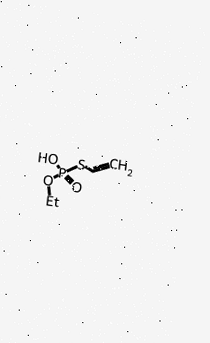 C=CSP(=O)(O)OCC